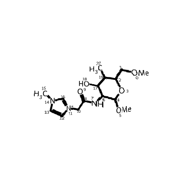 COCC1OC(OC)C(NC(=O)C[n+]2ccn(C)c2)C(O)C1C